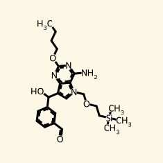 CCCCOc1nc(N)c2c(n1)c(C(O)c1cccc(C=O)c1)cn2COCC[Si](C)(C)C